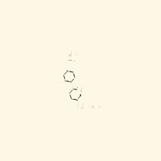 CCCCCc1ccc(-c2ccc(O[C@@H](C)CCCC)cc2F)nc1